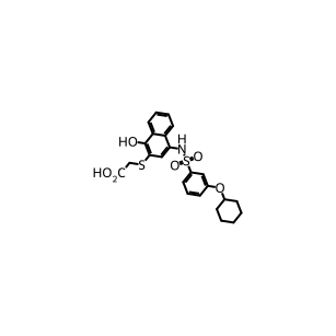 O=C(O)CSc1cc(NS(=O)(=O)c2cccc(OC3CCCCC3)c2)c2ccccc2c1O